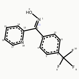 O/N=C(/c1ccc(C(F)(F)F)cc1)c1ccccn1